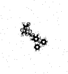 Cc1cc([SH](c2ccccc2)c2ccccc2)cc(C)c1OCC(=O)OC1C(C)OC2C(C)C(=O)OC12